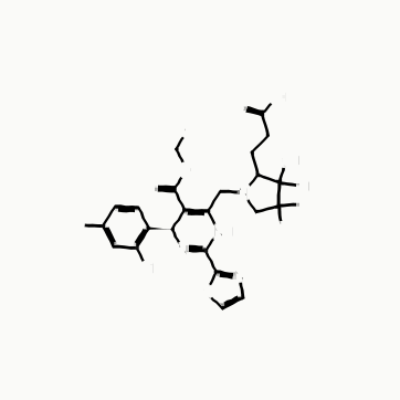 CCOC(=O)C1=C(CN2CC(F)(F)C(C)(C)C2CCC(=O)O)NC(c2nccs2)=N[C@H]1c1ccc(F)cc1Cl